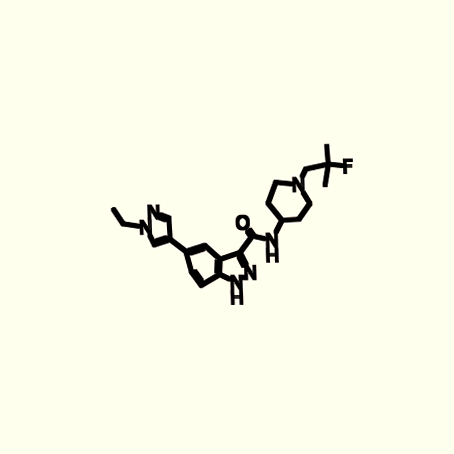 CCn1cc(-c2ccc3[nH]nc(C(=O)NC4CCN(CC(C)(C)F)CC4)c3c2)cn1